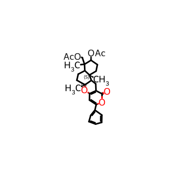 CC(=O)OCC1(C)C(OC(C)=O)CC[C@@]2(C)C1CC[C@@]1(C)Oc3cc(-c4ccccc4)oc(=O)c3CC21